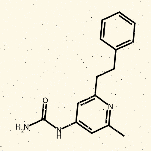 Cc1cc(NC(N)=O)cc(CCc2ccccc2)n1